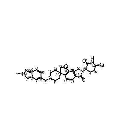 Cn1cc2cc(CN3CCC4(CC3)COc3c4ccc4c3CN(C3CCC(=O)NC3=O)C4=O)ccc2n1